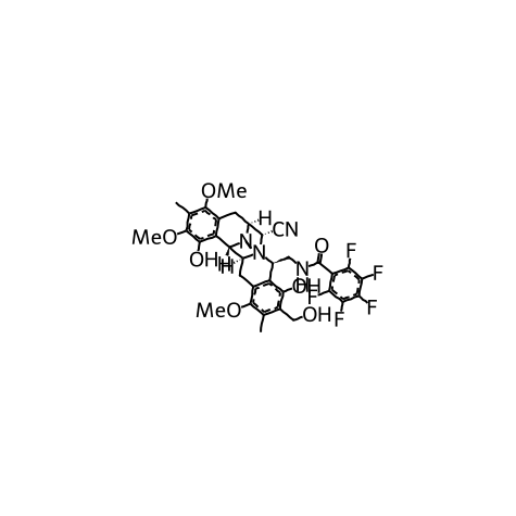 COc1c(C)c(OC)c2c(c1O)[C@H]1[C@@H]3Cc4c(OC)c(C)c(CO)c(O)c4[C@H](CNC(=O)c4c(F)c(F)c(F)c(F)c4F)N3[C@@H](C#N)[C@H](C2)N1C